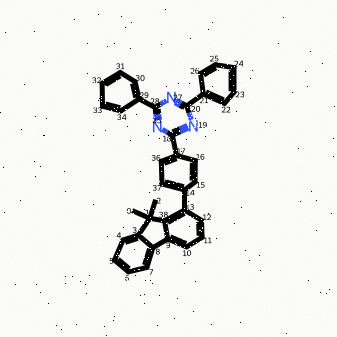 CC1(C)c2ccccc2-c2cccc(-c3ccc(-c4nc(-c5ccccc5)nc(-c5ccccc5)n4)cc3)c21